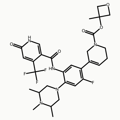 CC1CN(c2cc(F)c(C3=CCCN(C(=O)OC4(C)COC4)C3)cc2NC(=O)c2c[nH]c(=O)cc2C(F)(F)F)CC(C)N1C